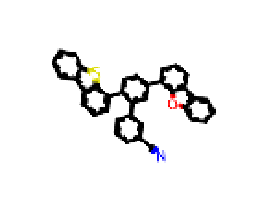 N#Cc1cccc(-c2cc(-c3cccc4c3oc3ccccc34)ccc2-c2cccc3c2sc2ccccc23)c1